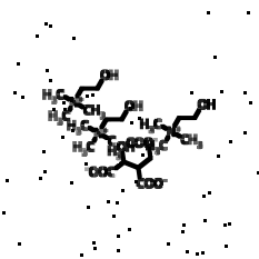 C[N+](C)(C)CCO.C[N+](C)(C)CCO.C[N+](C)(C)CCO.O=C([O-])CC(C(=O)[O-])C(O)C(=O)[O-]